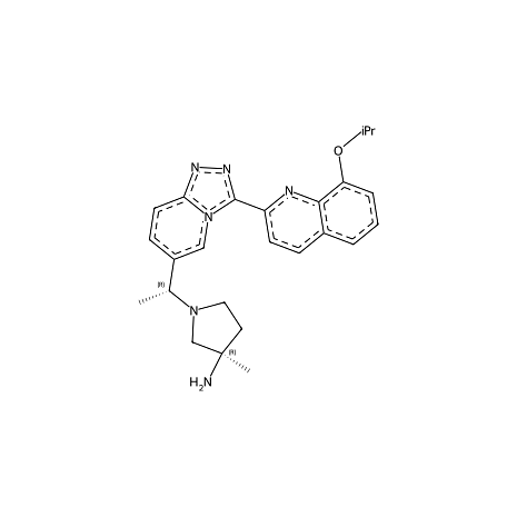 CC(C)Oc1cccc2ccc(-c3nnc4ccc([C@@H](C)N5CC[C@@](C)(N)C5)cn34)nc12